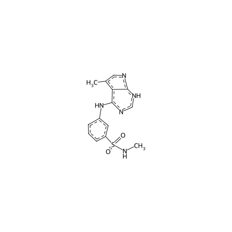 CNS(=O)(=O)c1cccc(Nc2nc[nH]c3ncc(C)c2-3)c1